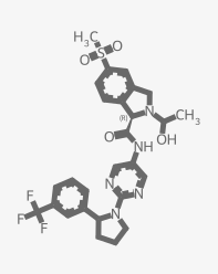 CC(O)N1Cc2cc(S(C)(=O)=O)ccc2[C@@H]1C(=O)Nc1cnc(N2CCCC2c2cccc(C(F)(F)F)c2)nc1